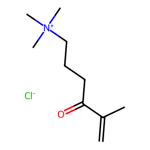 C=C(C)C(=O)CCC[N+](C)(C)C.[Cl-]